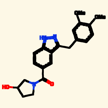 COc1ccc(Cc2n[nH]c3ccc(C(=O)N4CCC(O)C4)cc23)cc1OC